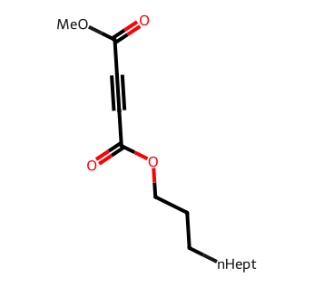 CCCCCCCCCCOC(=O)C#CC(=O)OC